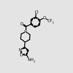 Nc1cc(C2CCN(C(=O)c3ccc(OC(F)(F)F)c(Cl)c3)CC2)no1